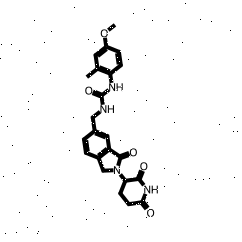 COc1ccc(NC(=O)NCc2ccc3c(c2)C(=O)N(C2CCC(=O)NC2=O)C3)c(C)c1